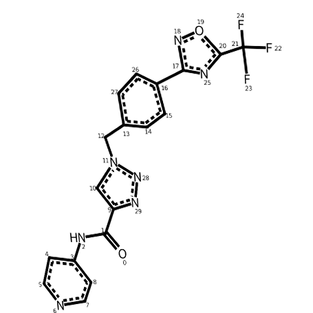 O=C(Nc1ccncc1)c1cn(Cc2ccc(-c3noc(C(F)(F)F)n3)cc2)nn1